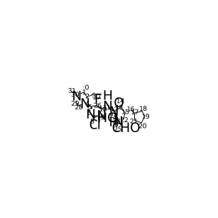 C[C@@H]1[C@@H](C)N(c2nc(Cl)nc(NNC(=O)[C@H](CC3CCCC3)CN(O)C=O)c2F)CCN1C